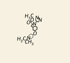 CCOC(=O)c1cc2cc(OC3CCN(C(C)C)CC3)ccc2n1-c1cncnc1